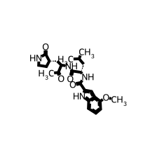 COc1cccc2[nH]c(C(=O)N[C@@H](CC(C)C)C(=O)NC(C[C@@H]3CCNC3=O)C(C)=O)cc12